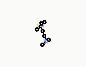 c1ccc(-c2nc(-c3ccc(-c4ccc(-c5nc6c7ccccc7ccc6c6sc7ccccc7c56)cc4)cc3)c3ccccc3n2)cc1